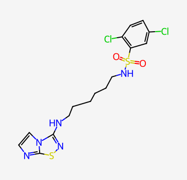 O=S(=O)(NCCCCCCNc1nsc2nccn12)c1cc(Cl)ccc1Cl